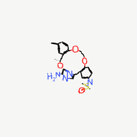 Cc1ccc2c(c1)[C@@H](C)Oc1nc(cnc1N)-c1cc(N=S(C)(C)=O)ccc1OCCO2